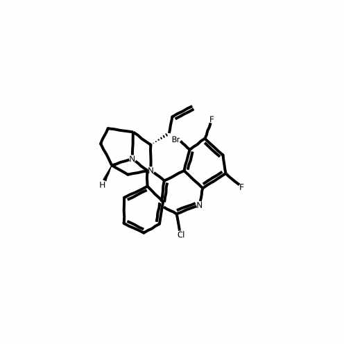 C=CC[C@H]1C2CC[C@@H](CN1c1nc(Cl)nc3c(F)cc(F)c(Br)c13)N2Cc1ccccc1